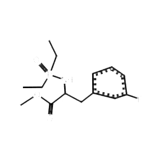 CCP(=O)(CC)NC(Cc1cccc(F)c1)C(=O)OC